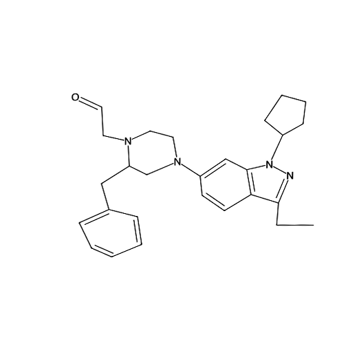 CCc1nn(C2CCCC2)c2cc(N3CCN(CC=O)C(Cc4ccccc4)C3)ccc12